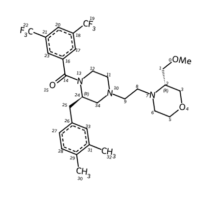 COC[C@@H]1COCCN1CCN1CCN(C(=O)c2cc(C(F)(F)F)cc(C(F)(F)F)c2)[C@H](Cc2ccc(C)c(C)c2)C1